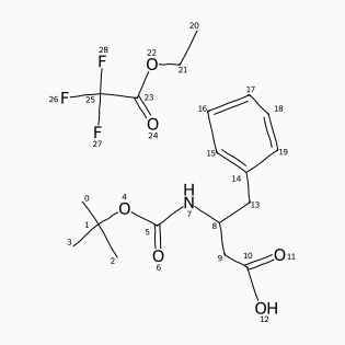 CC(C)(C)OC(=O)NC(CC(=O)O)Cc1ccccc1.CCOC(=O)C(F)(F)F